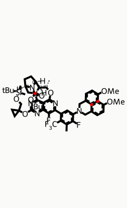 COc1ccc(CN(Cc2ccc(OC)cc2)c2cc(-c3nc4c5c(nc(OC6(CO[Si](C)(C)C(C)(C)C)CC6)nc5c3F)N3C[C@H]5CC[C@@H]([C@H]3[C@H](C)O4)N5C(=O)OC(C)(C)C)c(C(F)(F)F)c(C)c2F)cc1